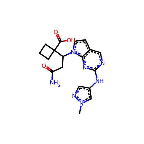 Cn1cc(Nc2ncc3ccn(C(CC(N)=O)C4(C(=O)O)CCC4)c3n2)cn1